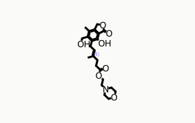 C/C(=C\Cc1c(O)c2c(c(C)c1CO)COC2=O)CCC(=O)OCCN1CCOCC1